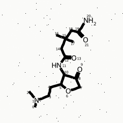 CN(C)CCC1OCC(=O)C1NC(=O)CC(C)(C)CC(N)=O